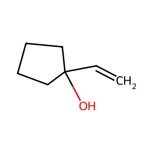 C=CC1(O)CCCC1